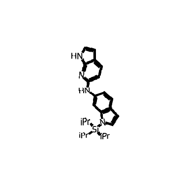 CC(C)[Si](C(C)C)(C(C)C)n1ccc2ccc(Nc3ccc4cc[nH]c4n3)cc21